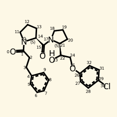 O=C(CCc1ccccc1)N1CCC[C@H]1C(=O)N1CCC[C@H]1C(O)COc1ccc(Cl)cc1